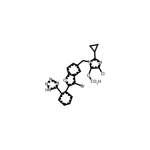 O=C(O)Oc1c(Cl)nc(C2CC2)n1Cc1ccc2oc(-c3ccccc3-c3nnn[nH]3)c(Br)c2c1